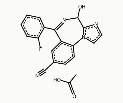 CC(=O)O.N#Cc1ccc2c(c1)C(c1ccccc1F)=NC(O)c1nccn1-2